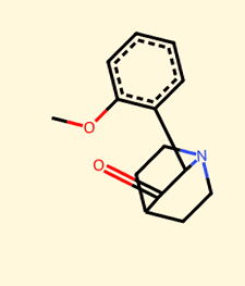 COc1ccccc1C1C(=O)C2CCN1CC2